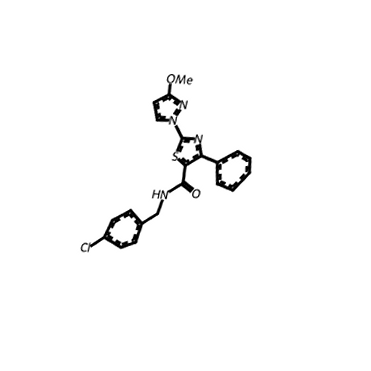 COc1ccn(-c2nc(-c3ccccc3)c(C(=O)NCc3ccc(Cl)cc3)s2)n1